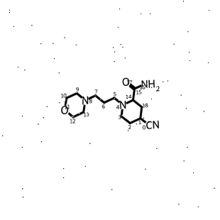 N#C[C]1CCN(CCCN2CCOCC2)C(C(N)=O)C1